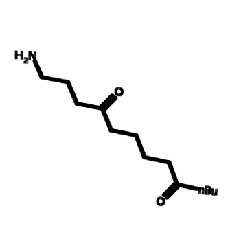 CCCCC(=O)CCCCC(=O)CCCN